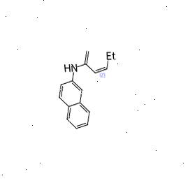 C=C(/C=C\CC)Nc1ccc2ccccc2c1